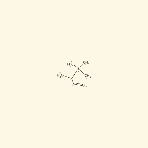 CC(C=O)S(C)(C)C